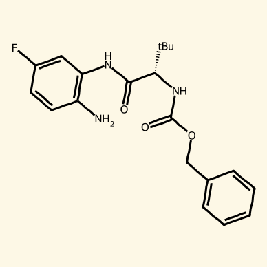 CC(C)(C)[C@H](NC(=O)OCc1ccccc1)C(=O)Nc1cc(F)ccc1N